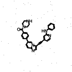 O=C(c1ccc(-c2ccc3ncc(C#Cc4ccnc(Nc5ccccc5)c4)n3c2)cc1)N1CCNCC1